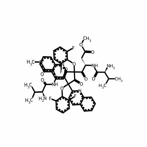 COC(=O)C[C@H](NC(=O)[C@@H](N)C(C)C)C(=O)C(Oc1c(F)cccc1F)(C(=O)C(Oc1c(F)cccc1F)(C(=O)[C@H](CC(=O)OC)NC(=O)[C@@H](N)C(C)C)c1ccc2ccccc2n1)c1ccc2ccccc2n1